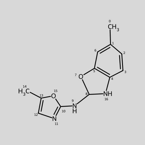 Cc1ccc2c(c1)OC(Nc1ncc(C)o1)N2